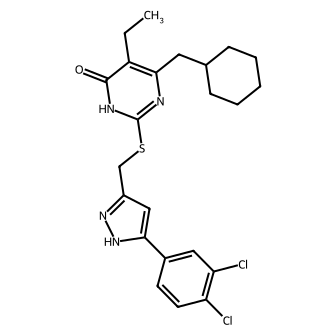 CCc1c(CC2CCCCC2)nc(SCc2cc(-c3ccc(Cl)c(Cl)c3)[nH]n2)[nH]c1=O